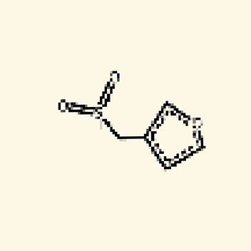 O=[SH](=O)Cc1[c]coc1